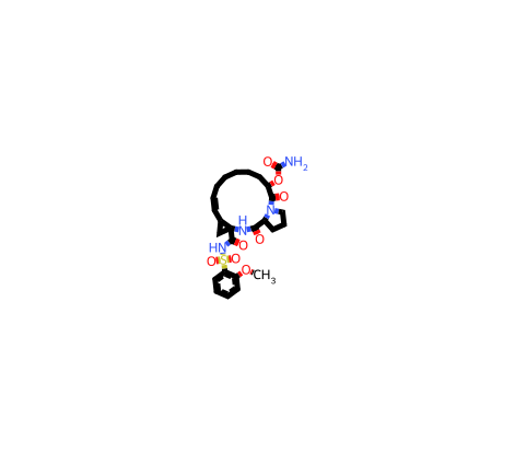 COc1ccccc1S(=O)(=O)NC(=O)C12CC1C=CCCCCCC(OC(N)=O)C(=O)N1CCCC1C(=O)N2